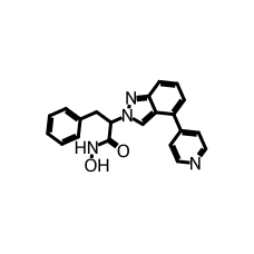 O=C(NO)C(Cc1ccccc1)n1cc2c(-c3ccncc3)cccc2n1